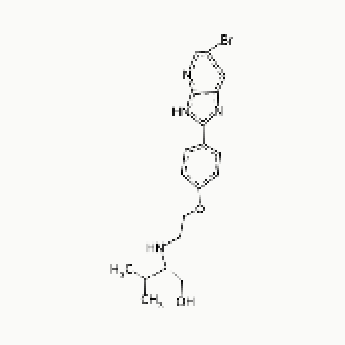 CC(C)[C@@H](CO)NCCOc1ccc(-c2nc3cc(Br)cnc3[nH]2)cc1